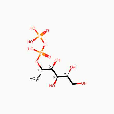 O=C(O)[C@H](OP(=O)(O)OP(=O)(O)O)[C@@H](O)[C@H](O)[C@H](O)CO